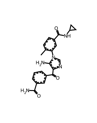 Cc1ccc(C(=O)NC2CC2)cc1-n1cnc(C(=O)c2cccc(C(N)=O)c2)c1N